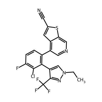 CCn1cc(-c2c(-c3cncc4sc(C#N)cc34)ccc(F)c2Cl)c(C(F)(F)F)n1